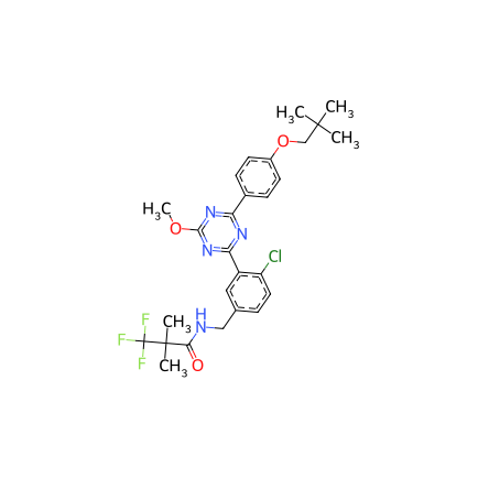 COc1nc(-c2ccc(OCC(C)(C)C)cc2)nc(-c2cc(CNC(=O)C(C)(C)C(F)(F)F)ccc2Cl)n1